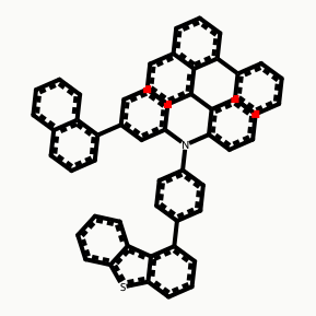 c1ccc(-c2cccc3cccc(-c4ccccc4N(c4ccc(-c5cccc6sc7ccccc7c56)cc4)c4cccc(-c5cccc6ccccc56)c4)c23)cc1